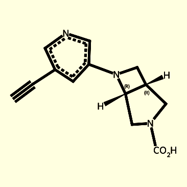 C#Cc1cncc(N2C[C@@H]3CN(C(=O)O)C[C@@H]32)c1